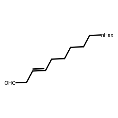 CCCCCCCCCCC/C=C/CC=O